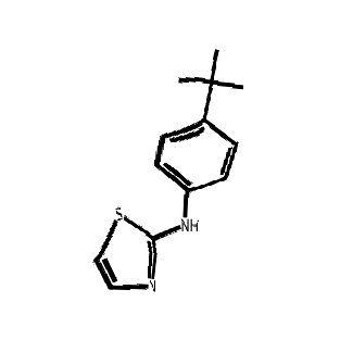 CC(C)(C)c1ccc(Nc2nccs2)cc1